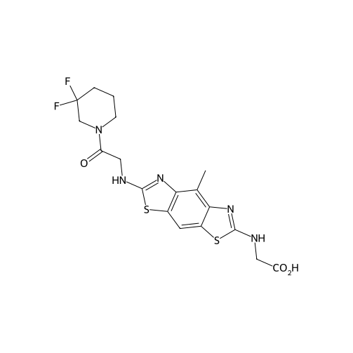 Cc1c2nc(NCC(=O)O)sc2cc2sc(NCC(=O)N3CCCC(F)(F)C3)nc12